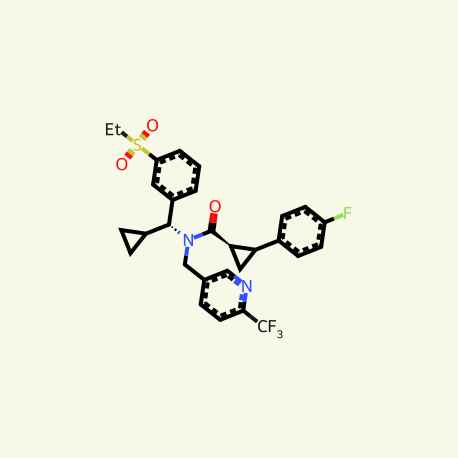 CCS(=O)(=O)c1cccc([C@@H](C2CC2)N(Cc2ccc(C(F)(F)F)nc2)C(=O)[C@@H]2CC2c2ccc(F)cc2)c1